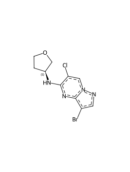 Clc1cn2ncc(Br)c2nc1N[C@H]1CCOC1